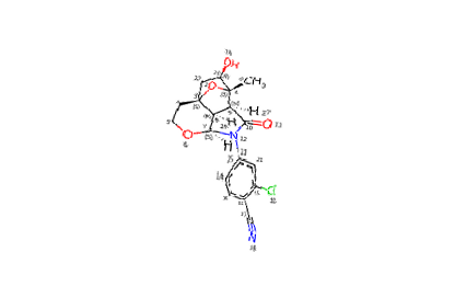 C[C@]12O[C@@]3(CCO[C@H]4[C@@H]3[C@@H]1C(=O)N4c1ccc(C#N)c(Cl)c1)C[C@H]2O